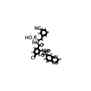 N#Cc1cccc(C[C@H](NC(=O)c2ccc(Cl)cc2NS(=O)(=O)c2ccc3nccnc3c2)C(=O)O)c1